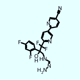 N#Cc1ccc(-c2ccc(C(F)(F)C(O)(CN/C=N\N)c3ccc(F)cc3F)nc2)nc1